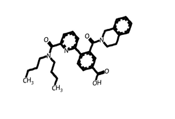 CCCCN(CCCC)C(=O)c1cccc(-c2ccc(C(=O)O)cc2C(=O)N2CCc3ccccc3C2)n1